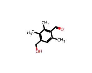 Cc1cc(CO)c(C)c(C)c1C=O